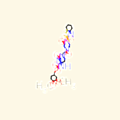 COc1ccc(COC(=O)Nc2ccn(CC(=O)N3CCN(S(=O)(=O)c4nc5ccccc5s4)C(=O)C3)c(=O)n2)cc1OC